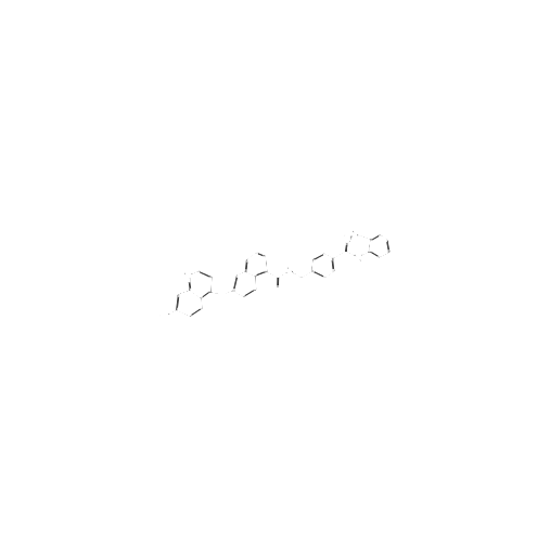 Nc1ccccc1NC(=O)c1ccc(CNC(=O)c2cccc3cc(Oc4ccnc5cc(Cl)ccc45)ccc23)cc1